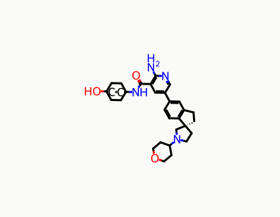 Nc1ncc(-c2ccc3c(c2)CC[C@@]32CCN(C3CCOCC3)C2)cc1C(=O)NC12CCC(O)(CC1)CC2